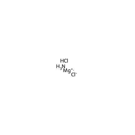 Cl.N.[Cl-].[Mg+]